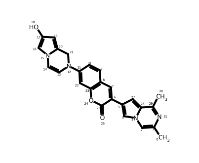 Cc1cn2cc(-c3cc4ccc(N5C=Cn6cc(O)cc6C5)cc4oc3=O)cc2c(C)n1